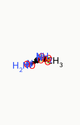 CS(=O)(=O)c1ccc(S(=O)(=O)N(N)c2ccc(/C=C/C(=O)N=NON)cc2)cc1